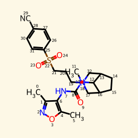 Cc1noc(C)c1NC(=O)N(C)C1C2CCC1CN(CCCS(=O)(=O)c1ccc(C#N)cc1)C2